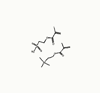 C=C(C)C(=O)OCCS(=O)(=O)O.C=C(C)C(=O)OCC[N+](C)(C)C